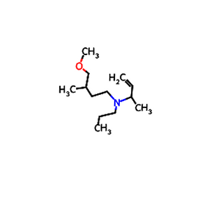 C=CC(C)N(CCC)CCC(C)COC